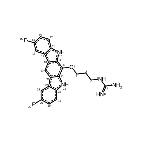 N=C(N)NCCCOc1c2[nH]c3ccc(F)cc3c2cc2c1[nH]c1ccc(F)cc12